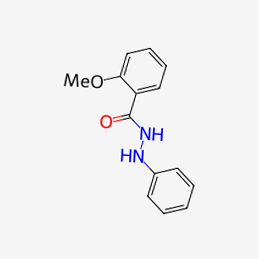 COc1ccccc1C(=O)NNc1ccccc1